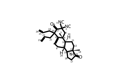 [C-]#[N+]C1([N+]#[C-])C[C@@]2(C)C(=CC[C@@H]3[C@@H]2CC[C@]2(C)C(=O)CC[C@@H]32)C(CC=C)(CC=C)C1=O